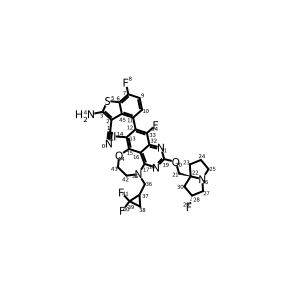 N#Cc1c(N)sc2c(F)ccc(-c3c(Cl)c4c5c(nc(OC[C@@]67CCCN6C[C@H](F)C7)nc5c3F)N(CC3CC3(F)F)CCO4)c12